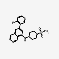 CS(=O)(=O)N1CCC(Nc2cc(-c3cnccc3F)cc3ccncc23)CC1